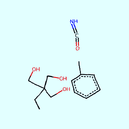 CCC(CO)(CO)CO.Cc1ccccc1.N=C=O